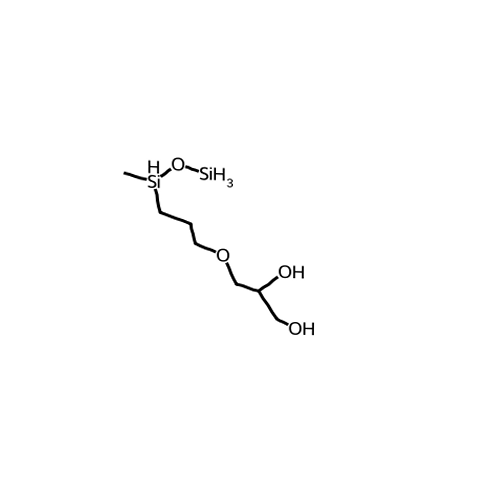 C[SiH](CCCOCC(O)CO)O[SiH3]